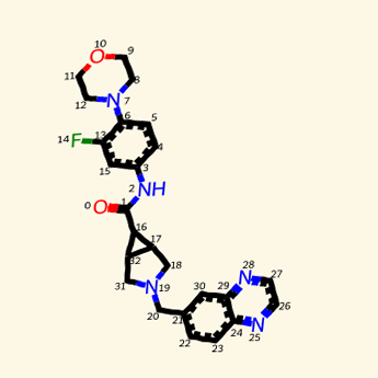 O=C(Nc1ccc(N2CCOCC2)c(F)c1)C1C2CN(Cc3ccc4nccnc4c3)CC21